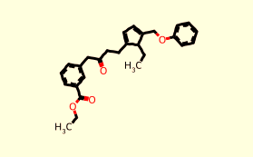 CCOC(=O)c1cccc(CC(=O)CCC2=CC=C(COc3ccccc3)C2CC)c1